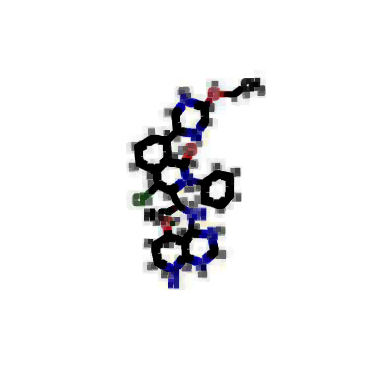 CCOc1cnc(-c2cccc3c(Cl)c([C@H](C)Nc4ncnc5[nH]ccc(=O)c45)n(-c4ccccc4)c(=O)c23)cn1